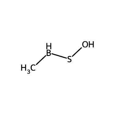 CBSO